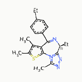 CCc1ccc(C2=N[C@@H](CC)c3nnc(C)n3-c3sc(C)c(C)c32)cc1